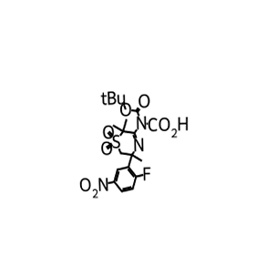 CC(C)(C)OC(=O)N(C(=O)O)C1=NC(C)(c2cc([N+](=O)[O-])ccc2F)CS(=O)(=O)C1(C)C